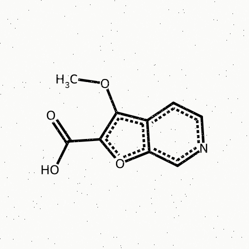 COc1c(C(=O)O)oc2cnccc12